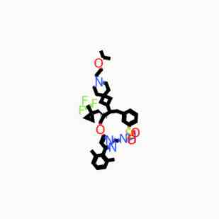 Cc1cccc(C)c1-c1cc2nc(n1)NS(=O)(=O)c1cccc(c1)CC(C1CC3(CCN(CCOC(C)C)CC3)C1)[C@H](CC1(C(F)(F)F)CC1)CO2